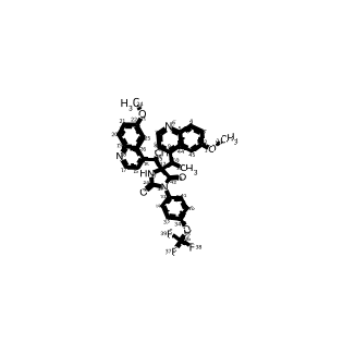 COc1ccc2nccc(C(C)C3(C(C)c4ccnc5ccc(OC)cc45)NC(=O)N(c4ccc(OC(F)(F)F)cc4)C3=O)c2c1